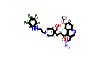 COc1ccc2ncc(CN)c([C@@H](O)CCC3(CO)CCN(CCNc4cc(F)c(F)c(F)c4)CC3)c2c1